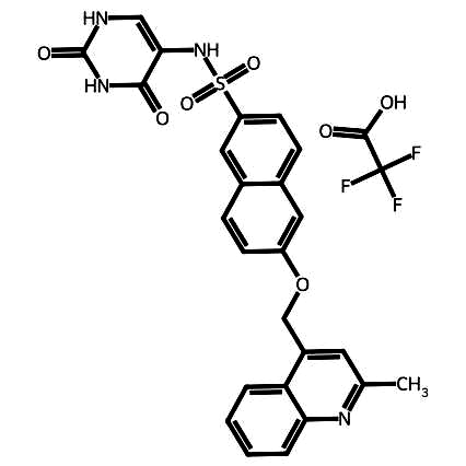 Cc1cc(COc2ccc3cc(S(=O)(=O)Nc4c[nH]c(=O)[nH]c4=O)ccc3c2)c2ccccc2n1.O=C(O)C(F)(F)F